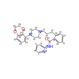 O=C(Nc1ccccn1)c1ccccc1CCCN1CCN(c2cccc3c2OCCO3)CC1